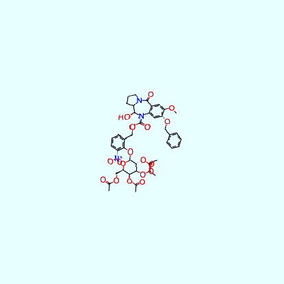 COc1cc2c(cc1OCc1ccccc1)N(C(=O)OCc1cccc([N+](=O)[O-])c1OC1O[C@H](COC(C)=O)[C@H](OC(C)=O)[C@H](OC(C)=O)[C@H]1OC(C)=O)[C@@H](O)C1CCCN1C2=O